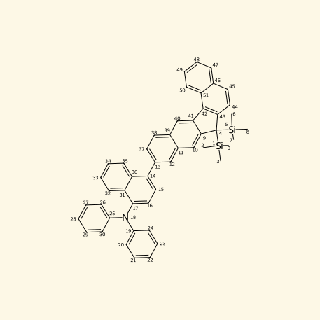 C[Si](C)(C)C1([Si](C)(C)C)c2cc3cc(-c4ccc(N(c5ccccc5)c5ccccc5)c5ccccc45)ccc3cc2-c2c1ccc1ccccc21